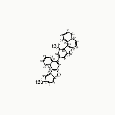 CC(C)(C)c1ccc2oc3cc(-c4cc(C(C)(C)C)c5c(c4)oc4ccc6ccccc6c45)c4ccccc4c3c2c1